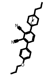 CCCOc1ccc(-c2ccc(C34CCC(CCC)(CC3)CC4)c(C#N)c2C#N)cc1